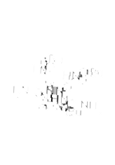 COC(=O)[C@H](CCCCN)NC(=O)[C@H](CCCCNC(=O)OC(C)(C)C)NC(=O)C(CCCCNC(=O)OC(C)(C)C)NC(=O)C(CCCCN)NC(=O)OC(C)(C)C